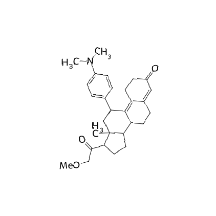 COCC(=O)C1CCC2C3CCC4=CC(=O)CCC4=C3C(c3ccc(N(C)C)cc3)CC12C